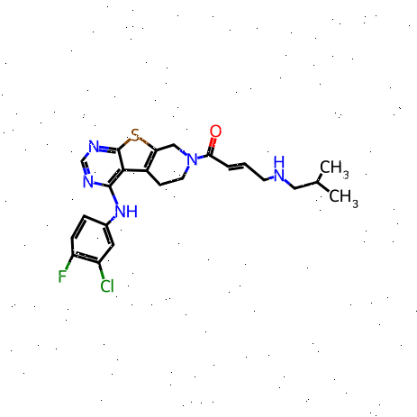 CC(C)CNC/C=C/C(=O)N1CCc2c(sc3ncnc(Nc4ccc(F)c(Cl)c4)c23)C1